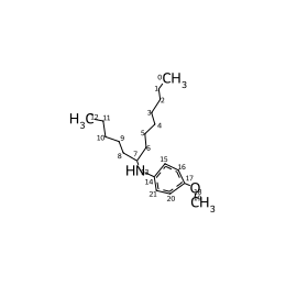 CCCCCCCC(CCCCC)Nc1ccc(OC)cc1